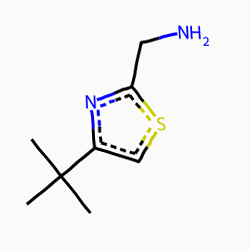 CC(C)(C)c1csc(CN)n1